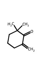 C=C1CCCC(C)(C)C1=O